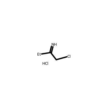 Cl.[CH2]CC(=N)CCl